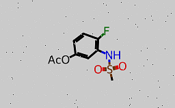 CC(=O)Oc1ccc(F)c(NS(C)(=O)=O)c1